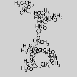 COc1cc2cc(c1Cl)N(C)C(=O)C[C@H](OC(=O)[C@H](C)N(C)C(=O)CCN(C)C(=O)OCc1ccc(NC(=O)[C@H](CCCNC(N)=O)NC(=O)[C@@H](NC(=O)CCCCCN3C(=O)CC(C(C)C)C3=O)C(C)C)cc1)[C@]1(C)O[C@H]1[C@H](C)[C@@H]1C[C@@](O)(NC(=O)O1)[C@H](OC)/C=C/C=C(\C)C2